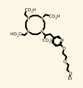 CCOCCOCCOc1ccc(CC(C(=O)O)N2CCN(CC(=O)O)CCN(CC(=O)O)CCN(CC(=O)O)CC2)cn1